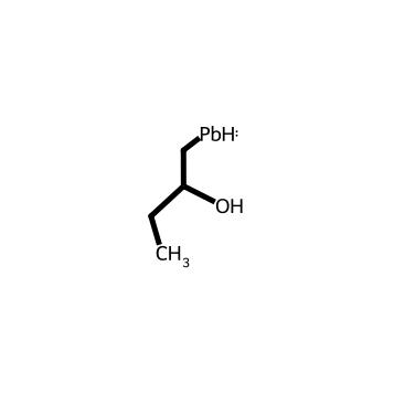 CCC(O)[CH2][PbH]